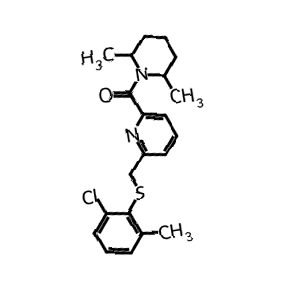 Cc1cccc(Cl)c1SCc1cccc(C(=O)N2C(C)CCCC2C)n1